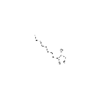 CCCCCCCCC1=NSCC1=O